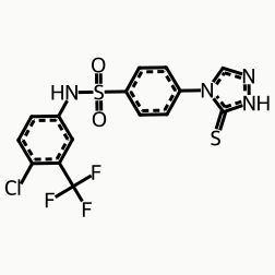 O=S(=O)(Nc1ccc(Cl)c(C(F)(F)F)c1)c1ccc(-n2cn[nH]c2=S)cc1